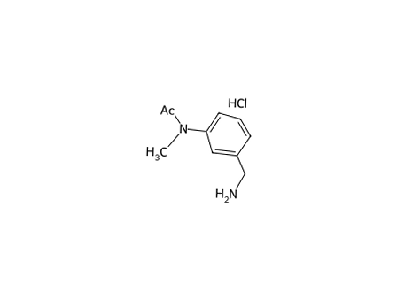 CC(=O)N(C)c1cccc(CN)c1.Cl